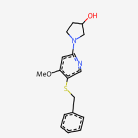 COc1cc(N2CCC(O)C2)ncc1SCc1ccccc1